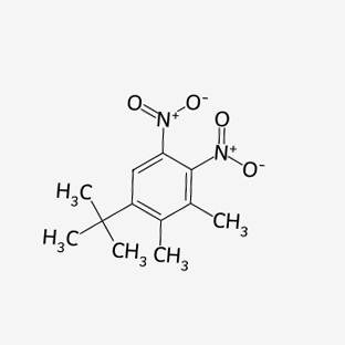 Cc1c(C(C)(C)C)cc([N+](=O)[O-])c([N+](=O)[O-])c1C